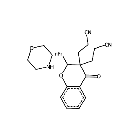 C1COCCN1.CCCC1Oc2ccccc2C(=O)C1(CCC#N)CCC#N